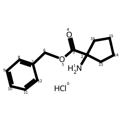 Cl.NC1(C(=O)OCc2ccccc2)CCCC1